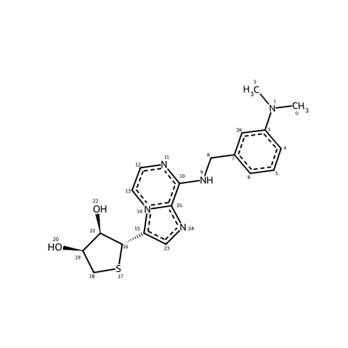 CN(C)c1cccc(CNc2nccn3c([C@@H]4SC[C@@H](O)[C@H]4O)cnc23)c1